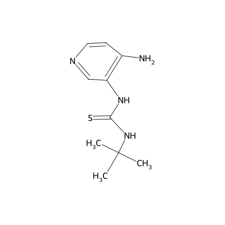 CC(C)(C)NC(=S)Nc1cnccc1N